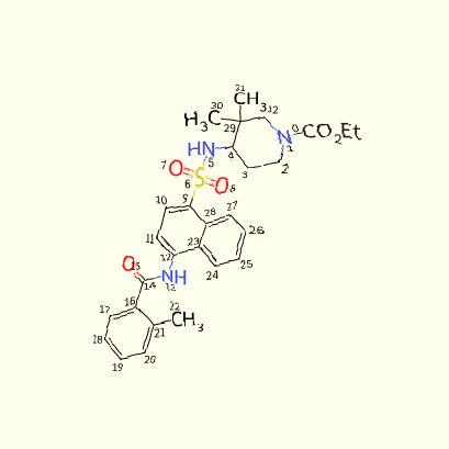 CCOC(=O)N1CCC(NS(=O)(=O)c2ccc(NC(=O)c3ccccc3C)c3ccccc23)C(C)(C)C1